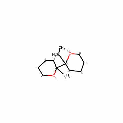 C[SiH2]C1(C2([SiH3])CCCCO2)CCCCO1